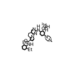 [2H]C([2H])([2H])Oc1cc(N2CCN(C)CC2)ccc1Nc1ncc2c(n1)-n1ccc(C(=O)Nc3c(CC)cccc3CC)c1CC2